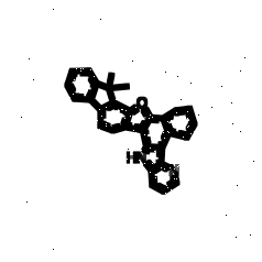 CC1(C)c2ccccc2-c2ccc3c(oc4c5ccccc5c5c6ncccc6[nH]c5c34)c21